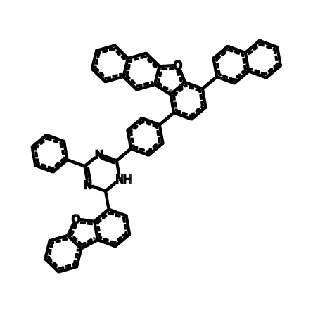 c1ccc(C2=NC(c3cccc4c3oc3ccccc34)NC(c3ccc(-c4ccc(-c5ccc6ccccc6c5)c5oc6cc7ccccc7cc6c45)cc3)=N2)cc1